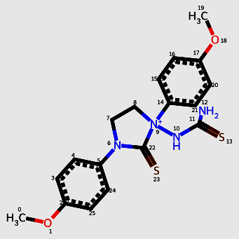 COc1ccc(N2CC[N+](NC(N)=S)(c3ccc(OC)cc3)C2=S)cc1